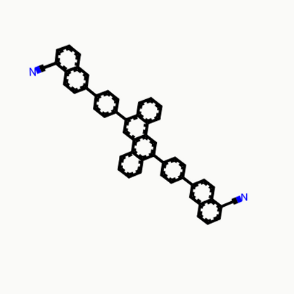 N#Cc1cccc2cc(-c3ccc(-c4cc5c6ccccc6c(-c6ccc(-c7ccc8c(C#N)cccc8c7)cc6)cc5c5ccccc45)cc3)ccc12